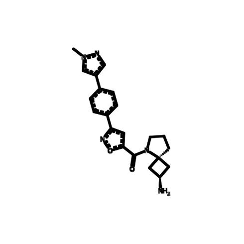 Cn1cc(-c2ccc(-c3cc(C(=O)N4CCC[C@]45C[C@H](N)C5)on3)cc2)cn1